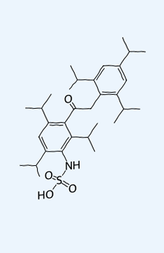 CC(C)c1cc(C(C)C)c(CC(=O)c2c(C(C)C)cc(C(C)C)c(NS(=O)(=O)O)c2C(C)C)c(C(C)C)c1